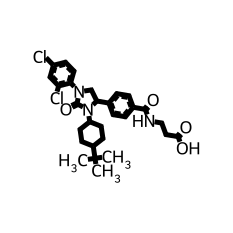 CC(C)(C)C1CCC(N2C(=O)N(c3ccc(Cl)cc3Cl)CC2c2ccc(C(=O)NCCC(=O)O)cc2)CC1